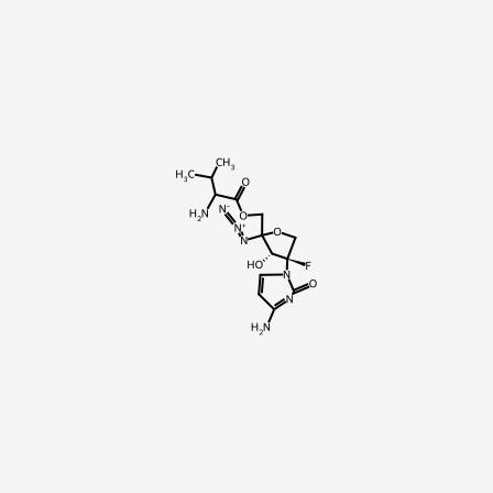 CC(C)C(N)C(=O)OCC1(N=[N+]=[N-])OC[C@](F)(n2ccc(N)nc2=O)[C@@H]1O